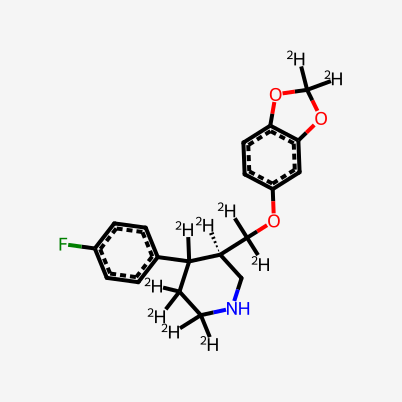 [2H]C1([2H])Oc2ccc(OC([2H])([2H])[C@@]3([2H])CNC([2H])([2H])C([2H])([2H])C3([2H])c3ccc(F)cc3)cc2O1